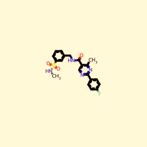 CNS(=O)(=O)c1cccc(CNC(=O)c2cnc(-c3ccc(F)cc3)nc2C)c1